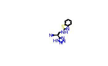 N#CC(=CNc1nc2ccccc2s1)c1nnn[nH]1